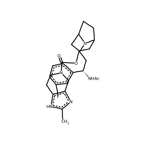 CC(=O)N[C@@H](CCN1C2CCC1CC(OC(=O)N1CCc3[nH]c(C)nc3C1)C2)c1cccc(F)c1